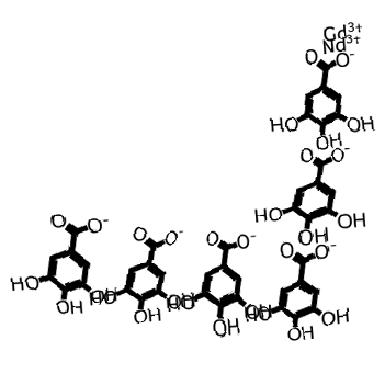 O=C([O-])c1cc(O)c(O)c(O)c1.O=C([O-])c1cc(O)c(O)c(O)c1.O=C([O-])c1cc(O)c(O)c(O)c1.O=C([O-])c1cc(O)c(O)c(O)c1.O=C([O-])c1cc(O)c(O)c(O)c1.O=C([O-])c1cc(O)c(O)c(O)c1.[Gd+3].[Nd+3]